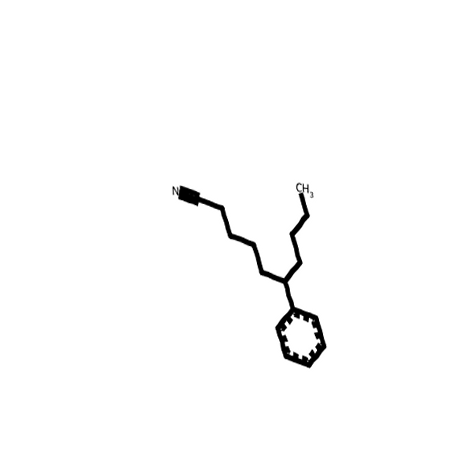 CCCCC(CCCCC#N)c1ccccc1